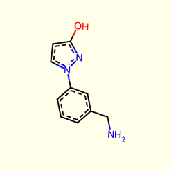 NCc1cccc(-n2ccc(O)n2)c1